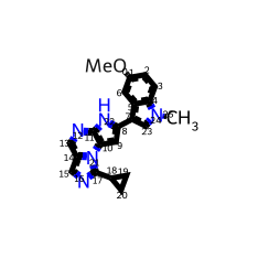 COc1ccc2c(c1)c(-c1cc3c(ncc4cnc(C5CC5)n43)[nH]1)cn2C